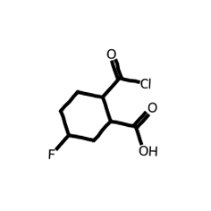 O=C(O)C1CC(F)CCC1C(=O)Cl